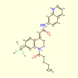 CCCCC(=O)N1CCC(=CC(=O)Nc2ccc3cccnc3c2)c2ccc(C(F)(F)F)cc21